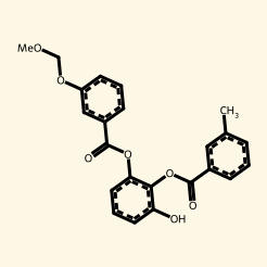 COCOc1cccc(C(=O)Oc2cccc(O)c2OC(=O)c2cccc(C)c2)c1